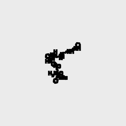 CCCCN(Cc1ccccc1)C(=O)C(N)CCC(=O)N1CCC(Nc2nc(NCc3cn(CCCNCCCNC4CCCCC4)nn3)nc3ccccc23)CC1